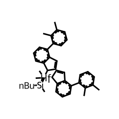 CCCC[Si](C)=[Hf]([CH3])([CH3])([CH]1C=Cc2c(-c3cccc(C)c3C)cccc21)[CH]1C=Cc2c(-c3cccc(C)c3C)cccc21